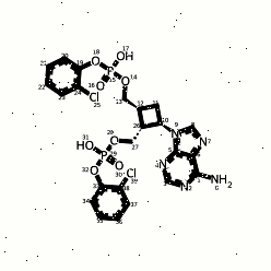 Nc1ncnc2c1ncn2[C@@H]1C[C@H](COP(=O)(O)Oc2ccccc2Cl)[C@H]1COP(=O)(O)Oc1ccccc1Cl